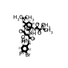 CN(C)CC12CCC(NC(=O)C(=O)N(C)C)(CC1)c1nc(C(=O)NCc3ccc(F)c(Br)c3)c(O)c(=O)n1C2